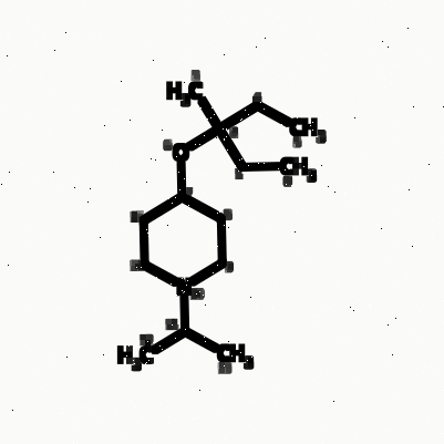 CCC(C)(CC)OC1CCN(C(C)C)CC1